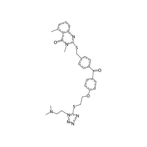 Cc1cccc2nc(SCc3ccc(C(=O)c4ccc(OCCSc5nnnn5CCN(C)C)cc4)cc3)n(C)c(=O)c12